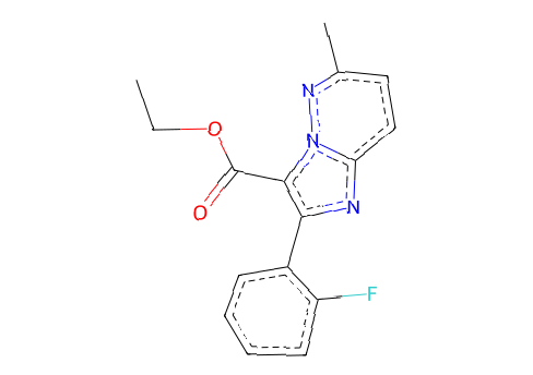 CCOC(=O)c1c(-c2ccccc2F)nc2ccc(C)nn12